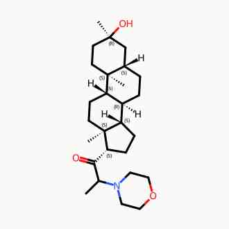 CC(C(=O)[C@H]1CC[C@H]2[C@@H]3CC[C@H]4C[C@](C)(O)CC[C@]4(C)[C@H]3CC[C@]12C)N1CCOCC1